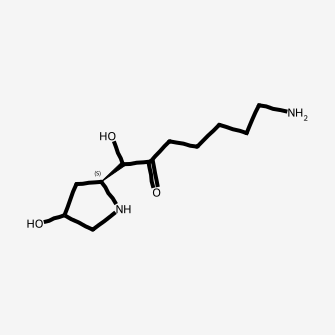 NCCCCCC(=O)C(O)[C@@H]1CC(O)CN1